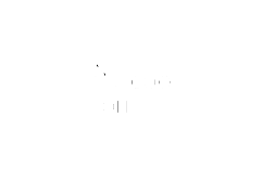 C[N+](C)(C)C(O)C(=O)[O-]